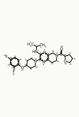 CC(C)Nc1nc2c(nc1N1CCC(Oc3ccc(F)cc3F)CC1)CCN(C(=O)C1CCCO1)C2